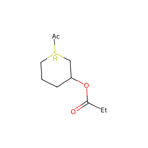 CCC(=O)OC1CCC[SH](C(C)=O)C1